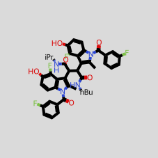 CCCCNC(=O)C(c1c(C)n(C(=O)c2cccc(F)c2)c2ccc(O)c(F)c12)C(C(=O)NC(C)C)c1c(C)n(C(=O)c2cccc(F)c2)c2ccc(O)c(F)c12